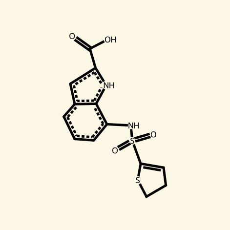 O=C(O)c1cc2cccc(NS(=O)(=O)C3=CCCS3)c2[nH]1